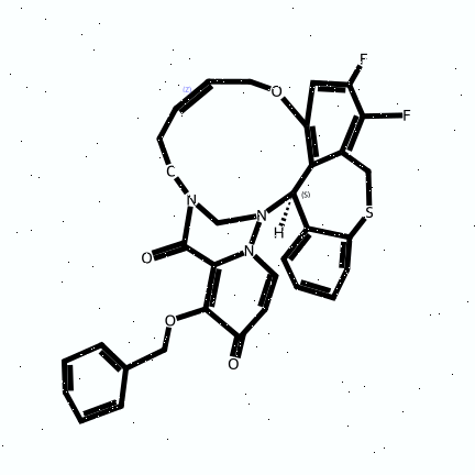 O=C1c2c(OCc3ccccc3)c(=O)ccn2N2CN1CC/C=C\COc1cc(F)c(F)c3c1[C@H]2c1ccccc1SC3